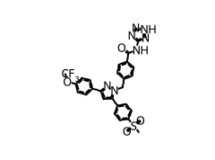 CS(=O)(=O)c1ccc(-c2cc(-c3ccc(OC(F)(F)F)cc3)nn2Cc2ccc(C(=O)Nc3nn[nH]n3)cc2)cc1